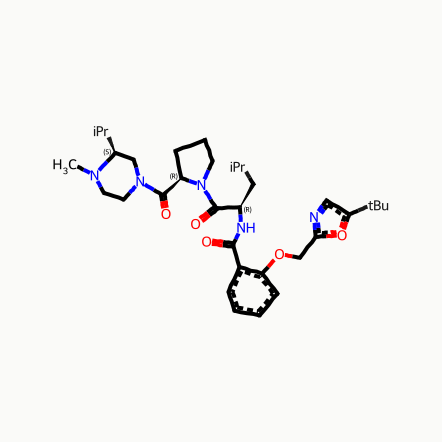 CC(C)C[C@@H](NC(=O)c1ccccc1OCc1ncc(C(C)(C)C)o1)C(=O)N1CCC[C@@H]1C(=O)N1CCN(C)[C@@H](C(C)C)C1